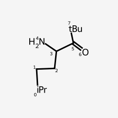 CC(C)CCC(N)C(=O)C(C)(C)C